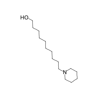 OCCCCCCCCCCN1CCCCC1